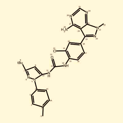 Cc1ccc(-n2nc(C(C)(C)C)cc2NC(=O)Nc2ccc(-c3nn(C)c4ncnc(N)c34)cc2Cl)cc1